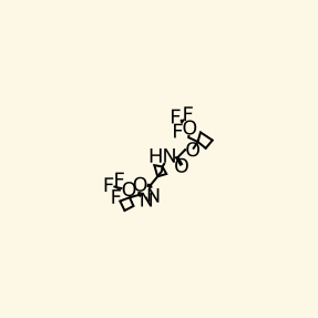 O=C(COC1(COC(F)(F)F)CCC1)NC12CC(c3nnc(C4(OC(F)(F)F)CCC4)o3)(C1)C2